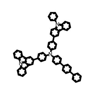 c1ccc(-c2ccc(-c3ccc(N(c4ccc(-c5ccc6c(c5)c5ccccc5n6-c5ccccc5)cc4)c4ccc(-c5cc6c7ccccc7n7c8ccccc8c(c5)c67)cc4)cc3)cc2)cc1